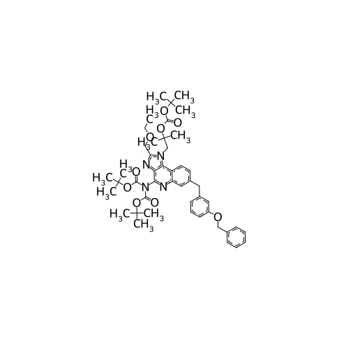 CCOCc1nc2c(N(C(=O)OC(C)(C)C)C(=O)OC(C)(C)C)nc3cc(Cc4cccc(OCc5ccccc5)c4)ccc3c2n1CC(C)(C)OC(=O)OC(C)(C)C